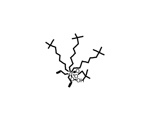 C=C[CH2][Zr](=[O])([CH2]C=C)([CH2]CCCCCC(C)(C)C)([CH2]CCCCCC(C)(C)C)([CH2]CCCCCC(C)(C)C)([O]O)[O]CC(C)(C)C